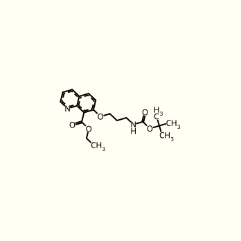 CCOC(=O)c1c(OCCCNC(=O)OC(C)(C)C)ccc2cccnc12